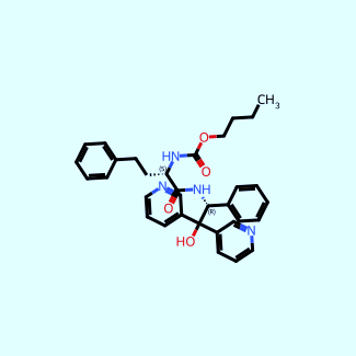 CCCCOC(=O)N[C@@H](CCc1ccccc1)C(=O)N[C@H](c1ccccc1)C(O)(c1cccnc1)c1cccnc1